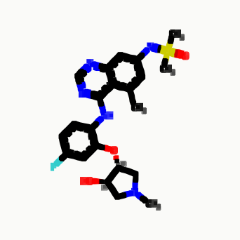 Cc1cc(N=S(C)(C)=O)cc2ncnc(Nc3ccc(F)cc3O[C@@H]3CN(C)C[C@H]3O)c12